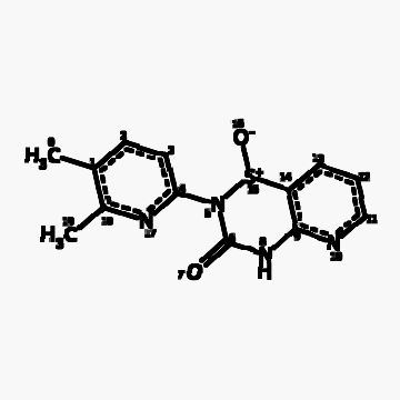 Cc1ccc(N2C(=O)Nc3ncccc3[S+]2[O-])nc1C